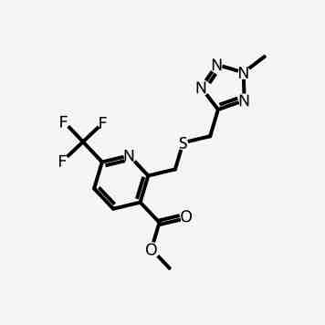 COC(=O)c1ccc(C(F)(F)F)nc1CSCc1nnn(C)n1